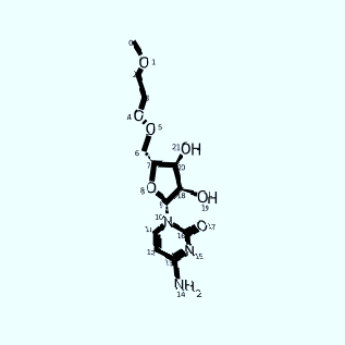 COCCOOC[C@H]1O[C@@H](n2ccc(N)nc2=O)[C@H](O)[C@@H]1O